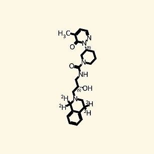 [2H]C1([2H])CN(C[C@@H](O)CNC(=O)N2CCC[C@@H](n3nccc(C)c3=O)C2)C([2H])([2H])c2ccccc21